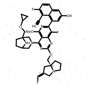 C#Cc1c(F)ccc2cc(O)cc(-c3nc(OC)c4c(N5CC6CCC(COC7CC7)(C5)N6)nc(OC[C@@]56CCCN5C/C(=C\F)C6)nc4c3F)c12